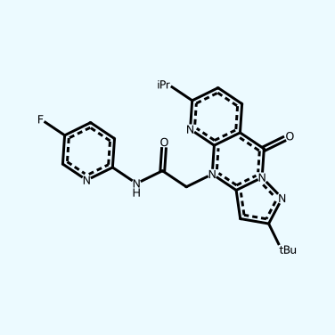 CC(C)c1ccc2c(=O)n3nc(C(C)(C)C)cc3n(CC(=O)Nc3ccc(F)cn3)c2n1